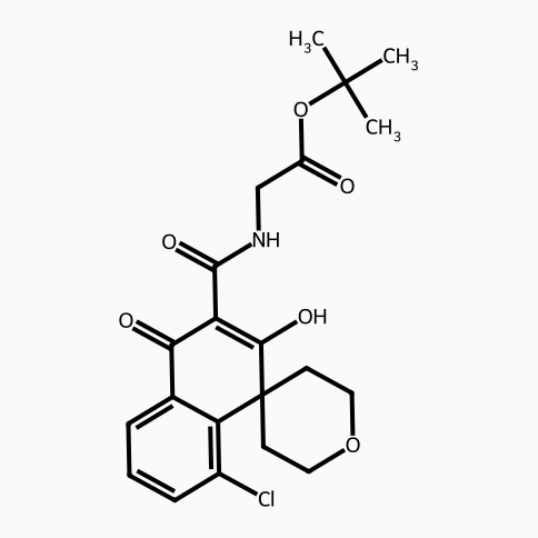 CC(C)(C)OC(=O)CNC(=O)C1=C(O)C2(CCOCC2)c2c(Cl)cccc2C1=O